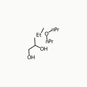 CC(O)CO.CCC.CCCOCCC